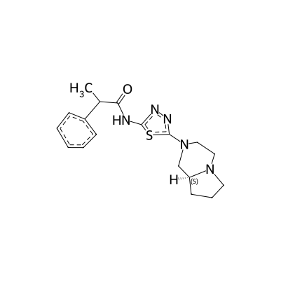 CC(C(=O)Nc1nnc(N2CCN3CCC[C@H]3C2)s1)c1ccccc1